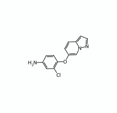 Nc1ccc(Oc2ccc3ccnn3c2)c(Cl)c1